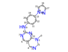 CN1CN=Cc2cnc(Nc3ccc(-n4cccn4)cc3)nc21